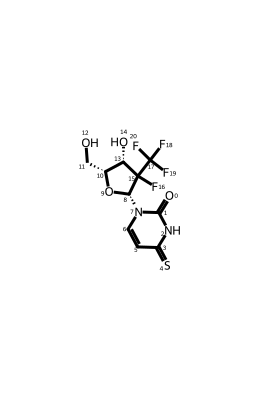 O=c1[nH]c(=S)ccn1[C@@H]1O[C@H](CO)[C@H](O)C1(F)C(F)(F)F